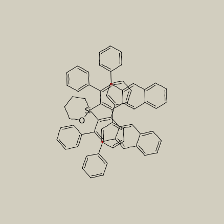 c1ccc(-c2c([Si]3(c4c(-c5ccccc5)c(-c5ccccc5)c5cc6ccccc6cc5c4-c4ccccc4)CCCCO3)c(-c3ccccc3)c3cc4ccccc4cc3c2-c2ccccc2)cc1